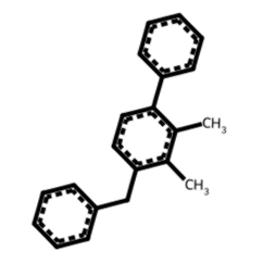 Cc1c(Cc2ccccc2)ccc(-c2ccccc2)c1C